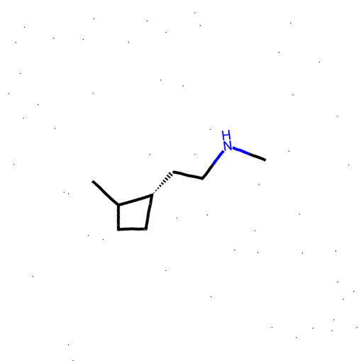 CNCC[C@@H]1CCC1C